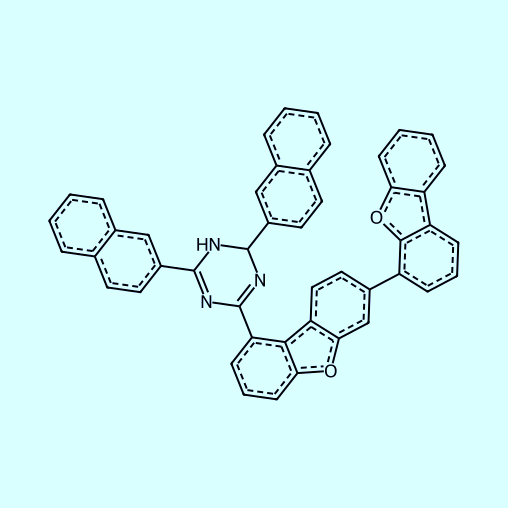 c1ccc2cc(C3=NC(c4cccc5oc6cc(-c7cccc8c7oc7ccccc78)ccc6c45)=NC(c4ccc5ccccc5c4)N3)ccc2c1